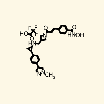 Cn1cc(-c2ccc(C3CC3NCC3CN(C(=O)/C=C/c4ccc(C(=O)NO)cc4)C3)cc2)cn1.O=C(O)C(F)(F)F